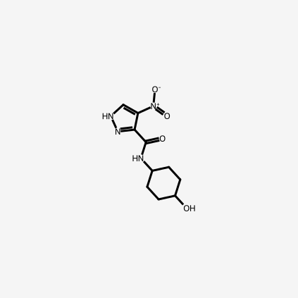 O=C(NC1CCC(O)CC1)c1n[nH]cc1[N+](=O)[O-]